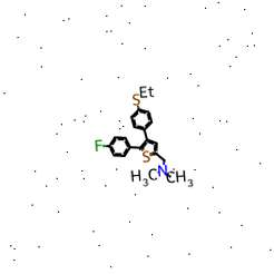 CCSc1ccc(-c2cc(CN(C)C)sc2-c2ccc(F)cc2)cc1